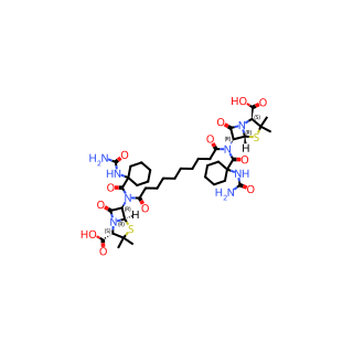 CC1(C)S[C@@H]2[C@H](N(C(=O)CCCCCCCCC(=O)N(C(=O)C3(NC(N)=O)CCCCC3)[C@@H]3C(=O)N4[C@@H]3SC(C)(C)[C@@H]4C(=O)O)C(=O)C3(NC(N)=O)CCCCC3)C(=O)N2[C@H]1C(=O)O